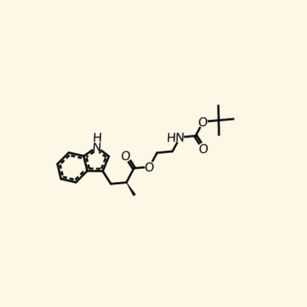 C[C@@H](Cc1c[nH]c2ccccc12)C(=O)OCCNC(=O)OC(C)(C)C